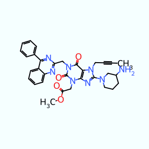 CC#CCn1c(N2CCCC(N)C2)nc2c1c(=O)n(Cc1nc(-c3ccccc3)c3ccccc3n1)c(=O)n2CC(=O)OC